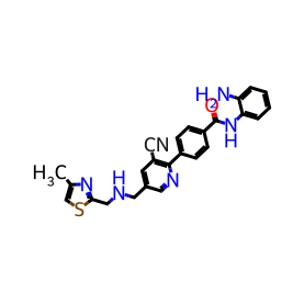 Cc1csc(CNCc2cnc(-c3ccc(C(=O)Nc4ccccc4N)cc3)c(C#N)c2)n1